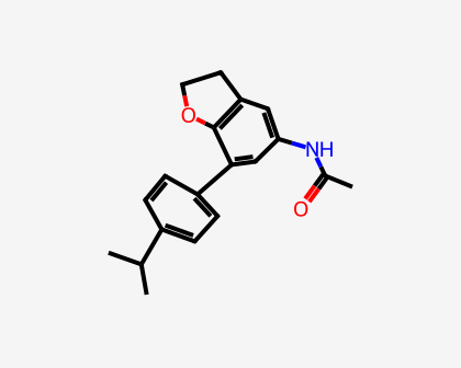 CC(=O)Nc1cc2c(c(-c3ccc(C(C)C)cc3)c1)OCC2